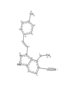 COc1c(C#N)ccc2[nH]nc(/C=C/c3ccc(C)cc3)c12